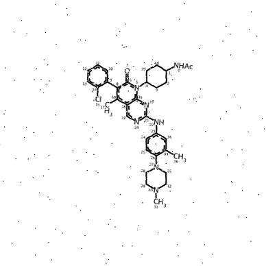 CC(=O)NC1CCC(n2c(=O)c(-c3ccccc3Cl)c(C)c3cnc(Nc4ccc(N5CCN(C)CC5)c(C)c4)nc32)CC1